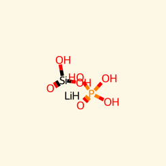 O=P(O)(O)O.O=[Si](O)O.[LiH]